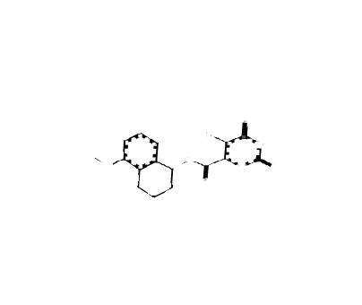 CCOc1cccc2c1CCC[C@@H]2NC(=O)c1[nH]c(=O)[nH]c(=O)c1N